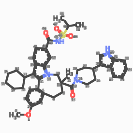 COc1ccc2c(c1)CCC(C)(C(=O)N1CCC(c3c[nH]c4ccccc34)CC1)Cn1c-2c(C2CCCCC2)c2ccc(C(=O)NS(=O)(=O)C(C)C)cc21